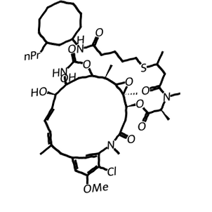 CCCC1CCCCCCCC(NC(=O)CCCCSC(C)CC(=O)N(C)[C@@H](C)C(=O)O[C@H]2CC(=O)N(C)c3cc(cc(OC)c3Cl)C/C(C)=C/C=C/[C@@H](O)[C@@]3(O)CC(OC(=O)N3)[C@@H](C)C3O[C@]32C)C1